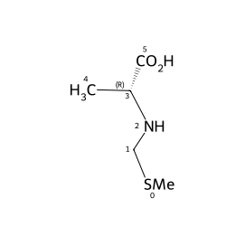 CSCN[C@H](C)C(=O)O